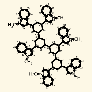 Cn1cc(C2CC(c3cn(C)c4ccccc34)CC(C3CC(c4cn(C)c5ccccc45)CC(C4CC(c5cn(C)c6ccccc56)CC(C5CC(c6cn(C)c7ccccc67)CC(c6cn(C)c7ccccc67)C5)C4)C3)C2)c2ccccc21